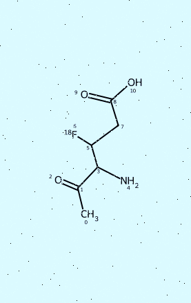 CC(=O)C(N)C([18F])CC(=O)O